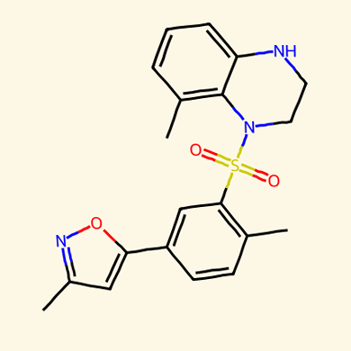 Cc1cc(-c2ccc(C)c(S(=O)(=O)N3CCNc4cccc(C)c43)c2)on1